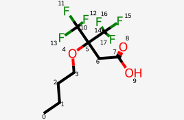 CCCCOC(CC(=O)O)(C(F)(F)F)C(F)(F)F